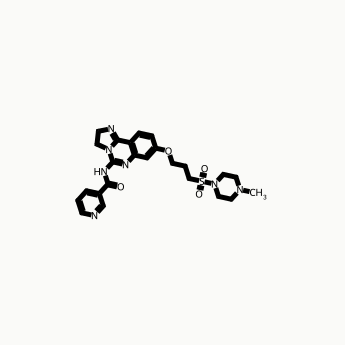 CN1CCN(S(=O)(=O)CCCOc2ccc3c(c2)N=C(NC(=O)c2cccnc2)N2CCN=C32)CC1